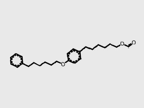 O=[C]OCCCCCCc1ccc(OCCCCCCc2ccccc2)cc1